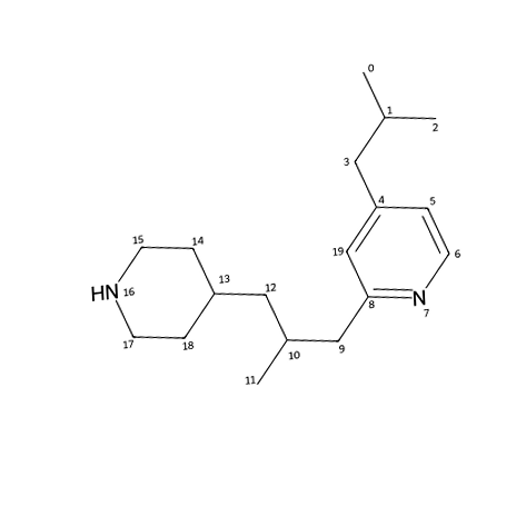 CC(C)Cc1ccnc(CC(C)CC2CCNCC2)c1